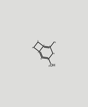 CC1=C2CCC2=C=C(O)C1